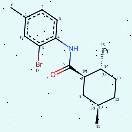 Cc1ccc(NC(=O)[C@@H]2C[C@H](C)CC[C@H]2C(C)C)c(Br)c1